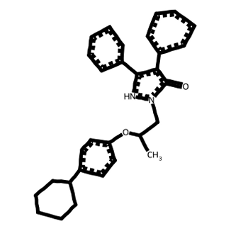 CC(Cn1[nH]c(-c2ccccc2)c(-c2ccccc2)c1=O)Oc1ccc(C2CCCCC2)cc1